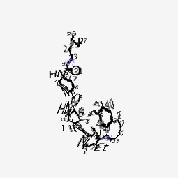 CCc1cnc(N[C@@H]2CCC[C@](C)(NC(=O)c3ccc(NC(=O)/C=C/CN(C)C)cn3)C2)nc1/C1=C/CCCCc2ccccc21